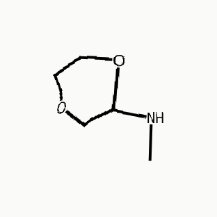 CNC1COCCO1